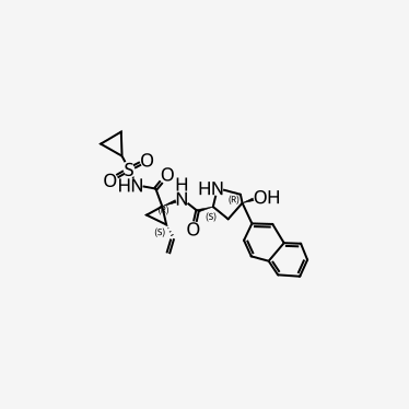 C=C[C@@H]1C[C@]1(NC(=O)[C@@H]1C[C@@](O)(c2ccc3ccccc3c2)CN1)C(=O)NS(=O)(=O)C1CC1